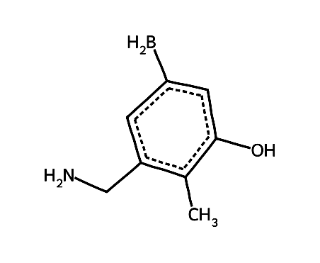 Bc1cc(O)c(C)c(CN)c1